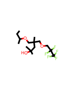 CCC(C)OCC(C)(COCC(F)(F)C(F)(F)F)CC(C)(C)O